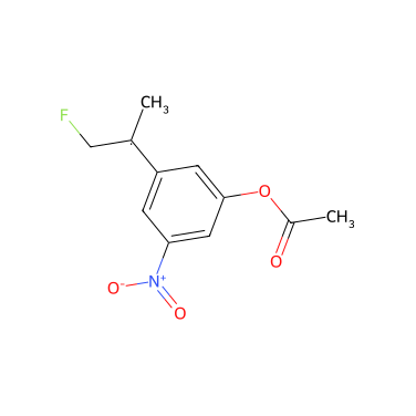 C[C](CF)c1cc(OC(C)=O)cc([N+](=O)[O-])c1